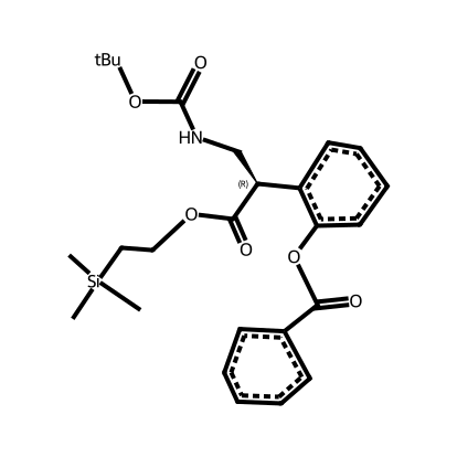 CC(C)(C)OC(=O)NC[C@H](C(=O)OCC[Si](C)(C)C)c1ccccc1OC(=O)c1ccccc1